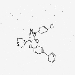 O=c1c(Oc2ccc(-c3ccccc3)cc2)c(N2CCSCC2)cnn1-c1ccc(Cl)cc1